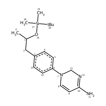 CC(Cc1ccc(N2C=CC(N)=NC2)cc1)O[Si](C)(C)C(C)(C)C